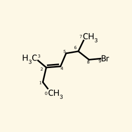 CCC(C)=CCC(C)CBr